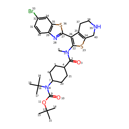 CN(C(=O)C1CCC(N(C(=O)OC(C)(C)C)C(C)(C)C)CC1)c1sc2c(c1-c1nc3ccc(Br)cc3s1)CCNC2